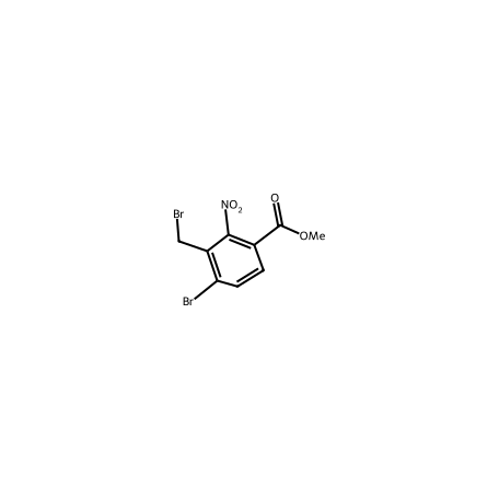 COC(=O)c1ccc(Br)c(CBr)c1[N+](=O)[O-]